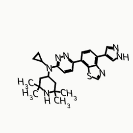 CC1(C)CC(N(c2ccc(-c3ccc(-c4cn[nH]c4)c4ncsc34)nn2)C2CC2)CC(C)(C)N1